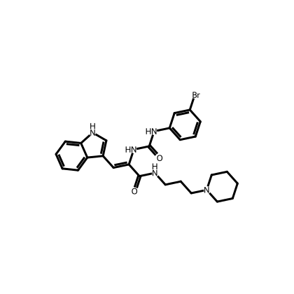 O=C(NC(=Cc1c[nH]c2ccccc12)C(=O)NCCCN1CCCCC1)Nc1cccc(Br)c1